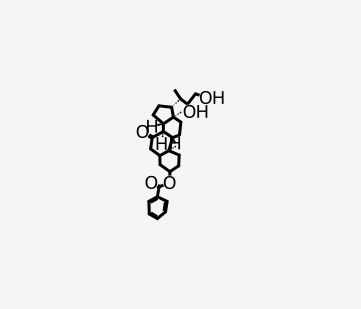 CC(C(O)CO)[C@H]1CC[C@H]2[C@@H]3C(=O)CC4CC(OC(=O)c5ccccc5)CC[C@]4(C)[C@H]3CC[C@]12C